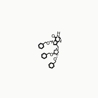 O=c1[nH]cnc2c(CN3C[C@H](COCc4ccccc4)[C@@H](OCc4ccccc4)C3)cn(COCc3ccccc3)c12